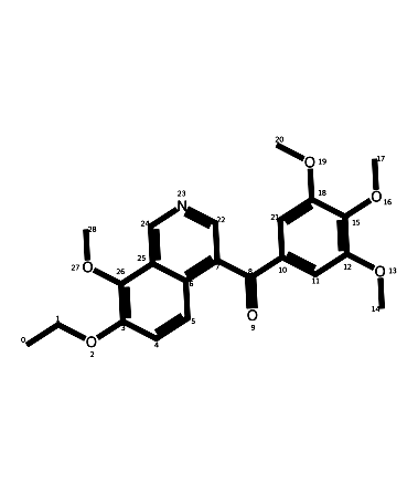 CCOc1ccc2c(C(=O)c3cc(OC)c(OC)c(OC)c3)cncc2c1OC